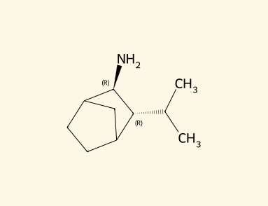 CC(C)[C@@H]1C2CCC(C2)[C@H]1N